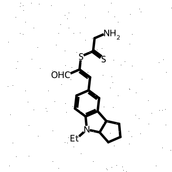 CCN1c2ccc(/C=C(\C=O)SC(=S)CN)cc2C2CCCC21